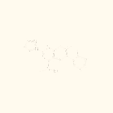 CCN(CC)c1nc(-n2cccn2)nc2cc(F)c(-c3ccccc3C)cc12